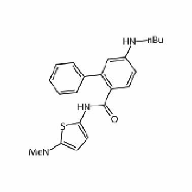 CCCCNc1ccc(C(=O)Nc2ccc(NC)s2)c(-c2ccccc2)c1